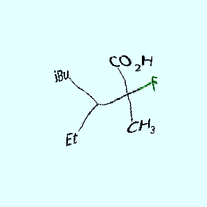 CCC(C)C(CC)C(C)(F)C(=O)O